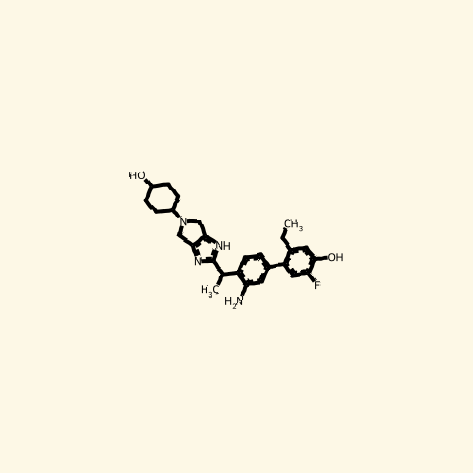 CCc1cc(O)c(F)cc1-c1ccc(C(C)c2nc3c([nH]2)CN(C2CCC(O)CC2)C3)c(N)c1